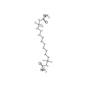 CC(C)(CCCCCCCCCCC(C)(C)CC(N)=O)CC(N)=O